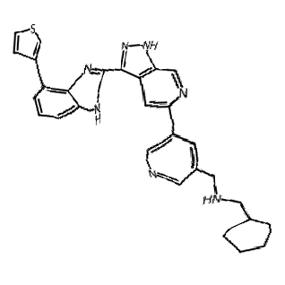 c1cc(-c2ccsc2)c2nc(-c3n[nH]c4cnc(-c5cncc(CNCC6CCCC6)c5)cc34)[nH]c2c1